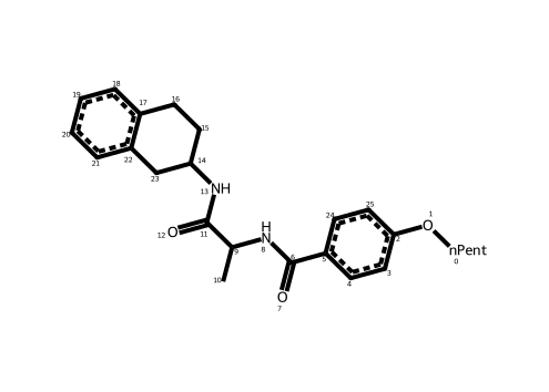 CCCCCOc1ccc(C(=O)NC(C)C(=O)NC2CCc3ccccc3C2)cc1